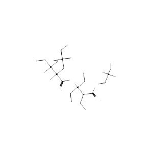 CCC(C(=O)OCC(F)(F)F)C(CC)(CC)OC(=O)C(C)(CC(C)(C)CC)C(C)(C)CC